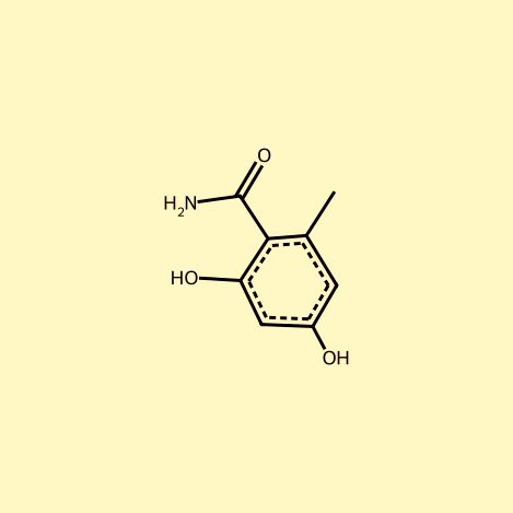 Cc1cc(O)cc(O)c1C(N)=O